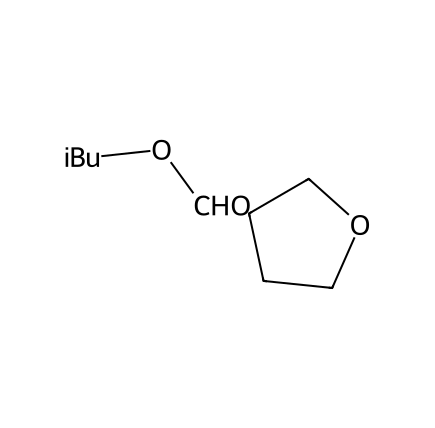 C1CCOC1.CCC(C)OC=O